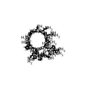 CCCC[C@@H]1NC(=O)[C@H](CCCCN)NC(=O)[C@H](CCCNC(=N)N)NC(=O)[C@H](CC(C)C)NC(=O)C(NC(=O)[C@H](CCSC)NC(=O)[C@@H]2CCCN2C(=O)[C@@H](NC(C)=O)C(C)C)CCSSC[C@@H](C(=O)NC(CCCCN)C(=O)N2CC(O)C[C@H]2C(=O)N2CCC[C@H]2C(=O)N[C@@H](CCC(=O)O)C(N)=O)NC(=O)[C@H](Cc2ccccc2)NC(=O)[C@H](CO)NC(=O)C(C)NC(=O)[C@@H]2CCCN2C1=O